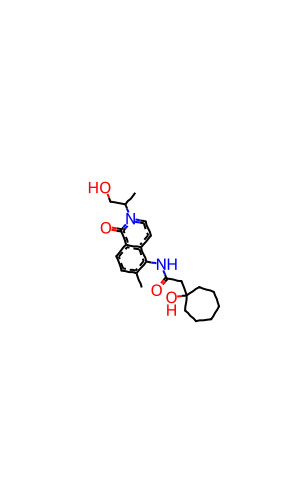 Cc1ccc2c(=O)n(C(C)CO)ccc2c1NC(=O)CC1(O)CCCCCC1